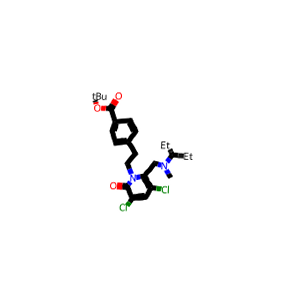 CCC(CC)N(C)Cc1c(Cl)cc(Cl)c(=O)n1CCc1ccc(C(=O)OC(C)(C)C)cc1